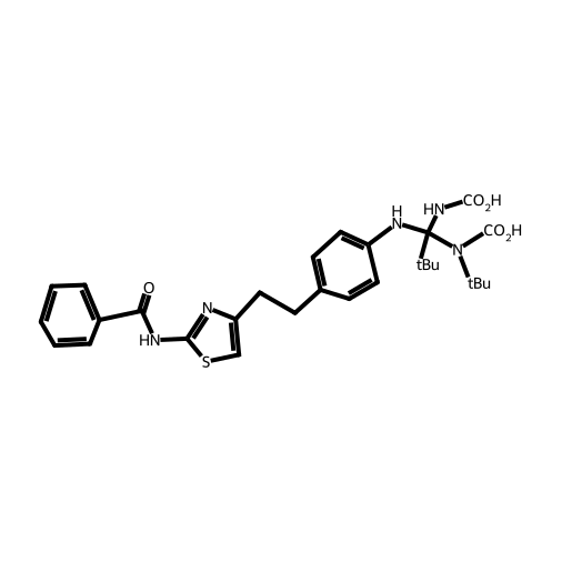 CC(C)(C)N(C(=O)O)C(NC(=O)O)(Nc1ccc(CCc2csc(NC(=O)c3ccccc3)n2)cc1)C(C)(C)C